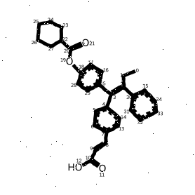 CC/C(=C(/c1ccc(/C=C/C(=O)O)cc1)c1ccc(OC(=O)C2CCCCC2)cc1)c1ccccc1